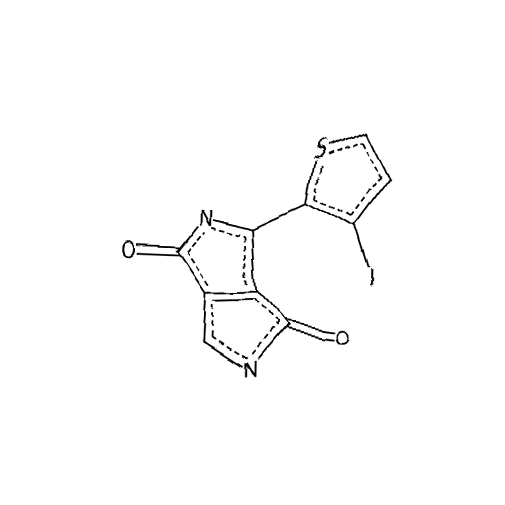 O=c1nc(-c2sccc2I)c2c(=O)ncc1=2